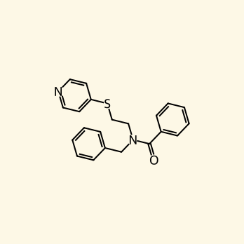 O=C(c1ccccc1)N(CCSc1ccncc1)Cc1ccccc1